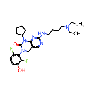 CCN(CC)CCCCNc1ncc2c(n1)N(C1CCCC1)C(=O)N(c1c(F)ccc(O)c1F)C2